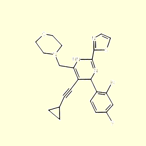 Fc1ccc(C2N=C(c3nccs3)NC(CN3CCOCC3)=C2C#CC2CC2)c(Br)c1